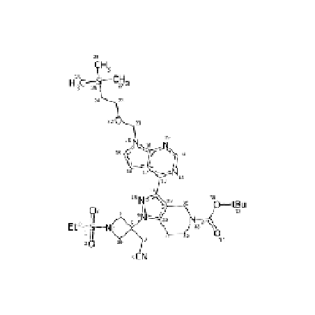 CCS(=O)(=O)N1CC(CC#N)(n2nc(-c3ncnc4c3ccn4COCC[Si](C)(C)C)c3c2CCN(C(=O)OC(C)(C)C)C3)C1